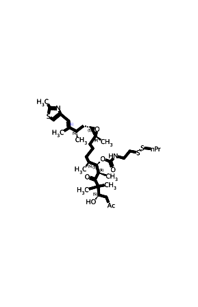 CCCSSCCNC(=O)O[C@@H]([C@@H](C)CCC[C@@]1(C)O[C@H]1C[C@H](C)/C(C)=C/c1csc(C)n1)[C@@H](C)C(=O)C(C)(C)[C@@H](O)CC(C)=O